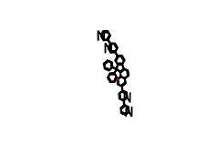 C1=CC2C3=C(C=CC2C=C1c1ccc(-c2cccnc2)nc1)c1ccc(-c2ccc(-c4cccnc4)nc2)cc1C3(c1ccccc1)c1ccccc1